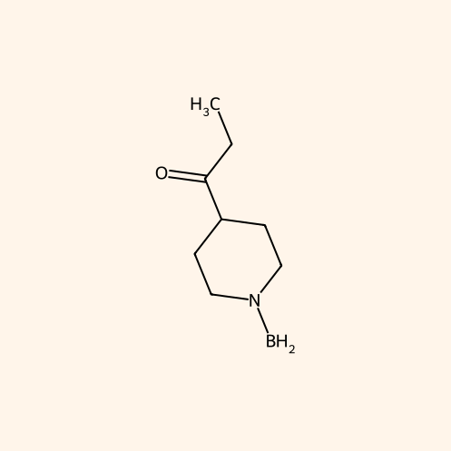 BN1CCC(C(=O)CC)CC1